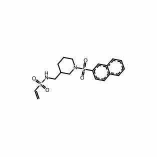 C=CS(=O)(=O)NCC1CCCN(S(=O)(=O)c2ccc3ccccc3c2)C1